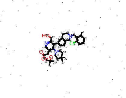 Cc1cccc(Cl)c1CN1CCc2cc(-c3c(CO)ncc([C@H](OC(C)(C)C)C(=O)O)c3N3CCC(C)(C)CC3)ccc2C1